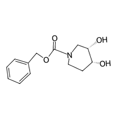 O=C(OCc1ccccc1)N1CC[C@@H](O)[C@@H](O)C1